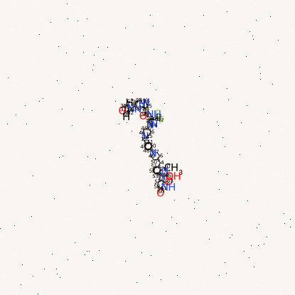 CN1c2c(CC3CCN(c4ccc(CN5CCC(n6cc(NC(=O)c7cnn8ccc(N9C[C@H]%10C[C@@H]9CO%10)nc78)c(C(F)F)n6)CC5)cc4)CC3)cccc2N(C2CCC(=O)NC2=O)C1O